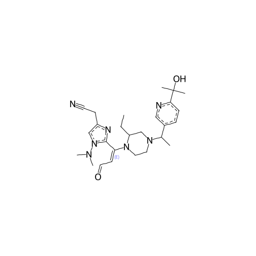 CCC1CN(C(C)c2ccc(C(C)(C)O)nc2)CCN1/C(=C/C=O)c1nc(CC#N)cn1N(C)C